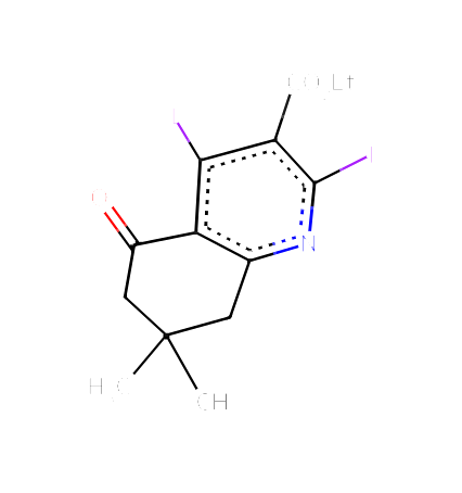 CCOC(=O)c1c(I)nc2c(c1I)C(=O)CC(C)(C)C2